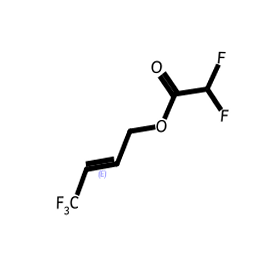 O=C(OC/C=C/C(F)(F)F)C(F)F